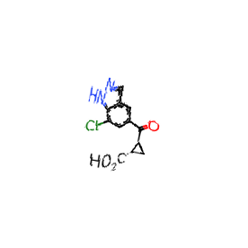 O=C(O)[C@H]1C[C@@H]1C(=O)c1cc(Cl)c2[nH]ncc2c1